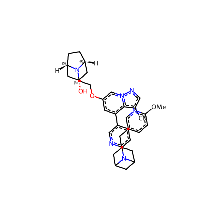 COc1ccc(CC2CC3CC(C2)N3c2ccc(-c3cc(OCCN4[C@@H]5CC[C@H]4C[C@@H](O)C5)cn4ncc(C#N)c34)cn2)cn1